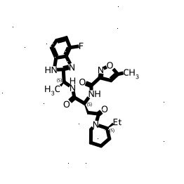 CC[C@H]1CCCCN1C(=O)C[C@H](NC(=O)c1cc(C)on1)C(=O)N[C@@H](C)c1nc2c(F)cccc2[nH]1